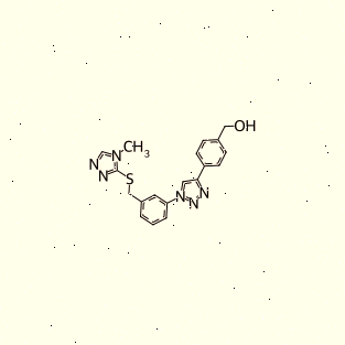 Cn1cnnc1SCc1cccc(-n2cc(-c3ccc(CO)cc3)nn2)c1